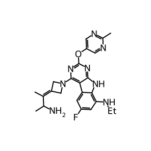 CCNc1cc(F)cc2c1[nH]c1nc(Oc3cnc(C)nc3)nc(N3CC(=C(C)C(C)N)C3)c12